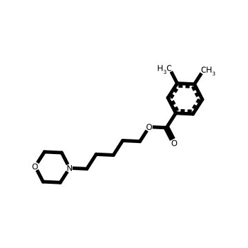 Cc1ccc(C(=O)OCCCCCN2CCOCC2)cc1C